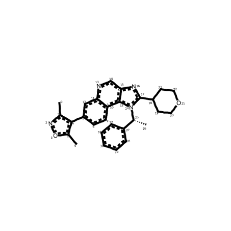 Cc1noc(C)c1-c1ccc2c(c1)ncc1nc(C3CCOCC3)n([C@H](C)c3ccccc3)c12